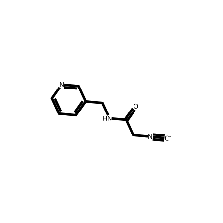 [C-]#[N+]CC(=O)NCc1cccnc1